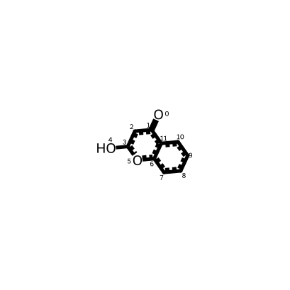 O=c1cc(O)oc2ccccc12